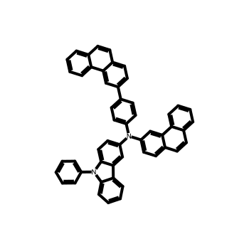 c1ccc(-n2c3ccccc3c3cc(N(c4ccc(-c5ccc6ccc7ccccc7c6c5)cc4)c4ccc5ccc6ccccc6c5c4)ccc32)cc1